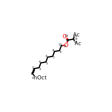 CCCCCCCC/C=C\CCCCCCCCOC(=O)C(C(C)=O)C(C)=O